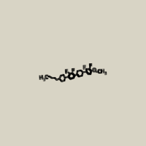 CCCCCC1CCC(c2ccc(C3=CCC(c4ccc(OCC)c(F)c4F)CC3)c(F)c2F)CC1